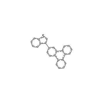 c1ccc2c(-c3ccc4c5ccccc5c5ccccc5c4c3)csc2c1